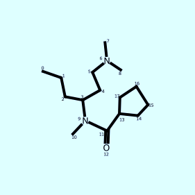 CCCC(CCN(C)C)N(C)C(=O)C1CCCC1